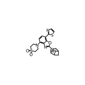 O=S1(=O)CCN(c2ccc(-c3nccs3)c3oc(N4CC5CC(C4)N5)nc23)CC1